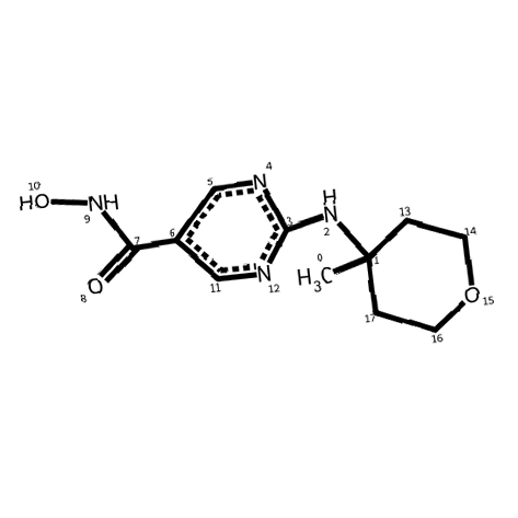 CC1(Nc2ncc(C(=O)NO)cn2)CCOCC1